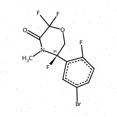 CN1C(=O)C(F)(F)OC[C@]1(F)c1cc(Br)ccc1F